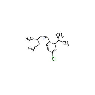 C=C(C)c1cc(Cl)ccc1/C=C\C(C)CC